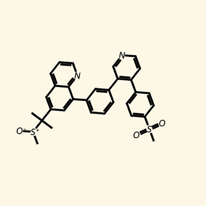 C[S+]([O-])C(C)(C)c1cc(-c2cccc(-c3cnccc3-c3ccc(S(C)(=O)=O)cc3)c2)c2ncccc2c1